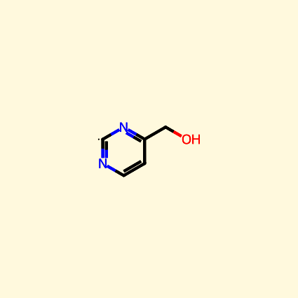 OCc1ccn[c]n1